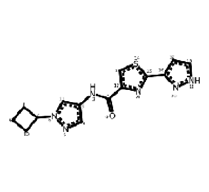 O=C(Nc1cnn(C2CCC2)c1)c1csc(-c2cc[nH]n2)n1